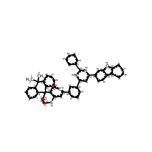 CC1(C)c2ccccc2C2(c3ccccc3Sc3cc(-c4cccc(-c5cc(-c6ccc7c(c6)oc6ccccc67)nc(-c6ccccc6)n5)c4)ccc32)c2ccccc21